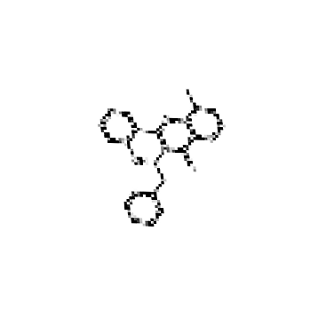 Cc1cccc2c(=O)n(CCc3ccccc3)c(-c3ccccc3O)nc12